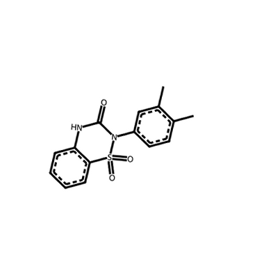 Cc1ccc(N2C(=O)Nc3ccccc3S2(=O)=O)cc1C